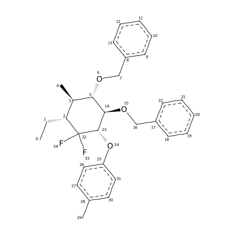 CC[C@@H]1[C@@H](C)[C@H](OCc2ccccc2)[C@@H](OCc2ccccc2)[C@H](Oc2ccc(C)cc2)C1(F)F